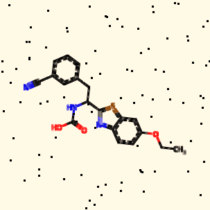 CCOc1ccc2nc(C(Cc3cccc(C#N)c3)NC(=O)O)sc2c1